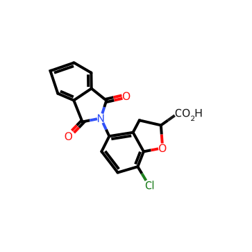 O=C(O)C1Cc2c(N3C(=O)c4ccccc4C3=O)ccc(Cl)c2O1